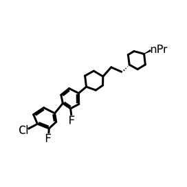 CCC[C@H]1CC[C@H](CCC2CCC(c3ccc(-c4ccc(Cl)c(F)c4)c(F)c3)CC2)CC1